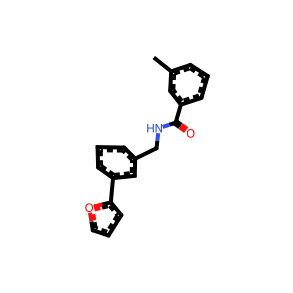 Cc1cccc(C(=O)NCc2cccc(-c3ccco3)c2)c1